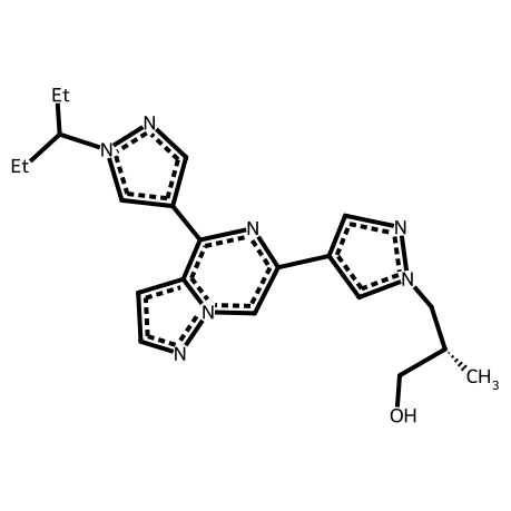 CCC(CC)n1cc(-c2nc(-c3cnn(C[C@H](C)CO)c3)cn3nccc23)cn1